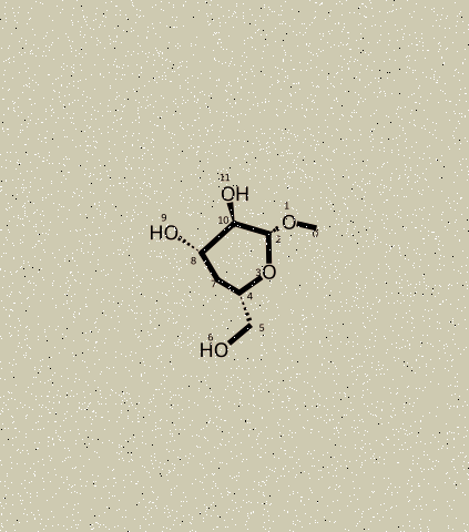 CO[C@@H]1O[C@H](CO)C[C@H](O)[C@H]1O